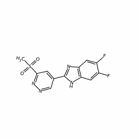 CS(=O)(=O)c1cc(-c2nc3cc(F)c(F)cc3[nH]2)cnn1